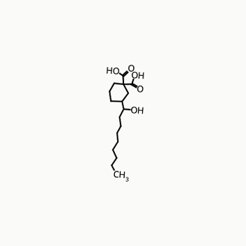 CCCCCCCCC(O)C1CCCC(C(=O)O)(C(=O)O)C1